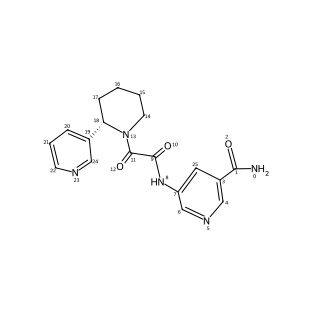 NC(=O)c1cncc(NC(=O)C(=O)N2CCCC[C@H]2c2cccnc2)c1